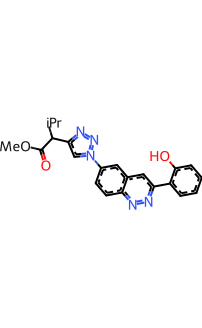 COC(=O)C(c1cn(-c2ccc3nnc(-c4ccccc4O)cc3c2)nn1)C(C)C